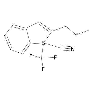 CCCC1=Cc2ccccc2S1(C#N)C(F)(F)F